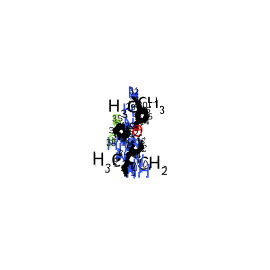 C=Nc1[nH]ccc1/C(=N\C)c1cccnc1Nc1cc(NC(=O)c2cccc(C(C)(C)C#N)c2)c(F)cc1F